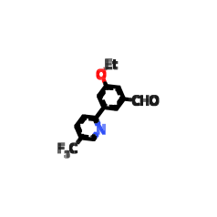 CCOc1cc(C=O)cc(-c2ccc(C(F)(F)F)cn2)c1